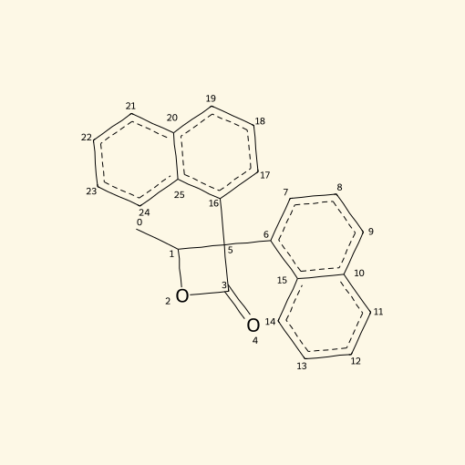 CC1OC(=O)C1(c1cccc2ccccc12)c1cccc2ccccc12